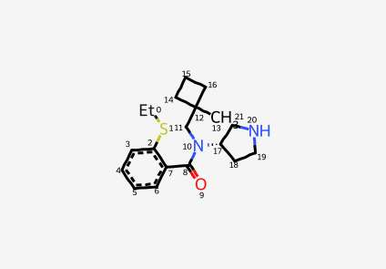 CCSc1ccccc1C(=O)N(CC1(C)CCC1)[C@H]1CCNC1